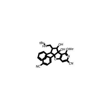 COc1nc(C#N)cc2c1C1(O)C(O)C(CNC(C)(C)C)C(c3ccccc3)C1(c1ccc(C#N)cc1)O2